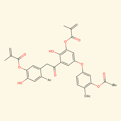 C=C(C)C(=O)Oc1cc(CC(=O)c2cc(Oc3ccc(OC(C)=O)c(OC(=O)C(C)(C)C)c3)cc(OC(=O)C(=C)C)c2O)c(C(C)=O)cc1O